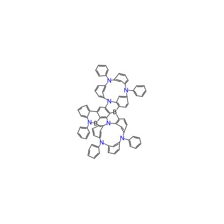 c1ccc(N2B3c4ccc5cc4N4c6cc(ccc6B6c7ccc8cc7N(c7cccc(c7)N(c7ccccc7)c7cccc(c7)N8c7ccccc7)c7cc(c3c4c76)-c3ccccc32)N(c2ccccc2)c2cccc(c2)N5c2ccccc2)cc1